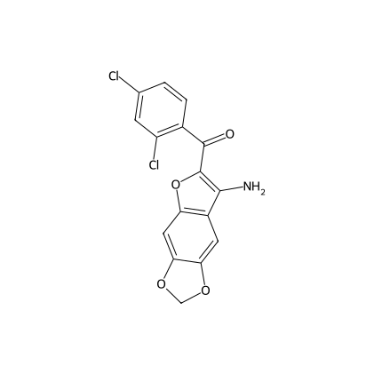 Nc1c(C(=O)c2ccc(Cl)cc2Cl)oc2cc3c(cc12)OCO3